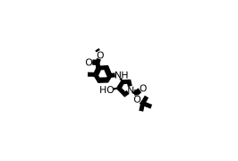 COC(=O)c1cc(N[C@H]2CN(C(=O)OC(C)(C)C)C[C@H]2O)ccc1C